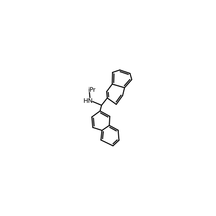 CC(C)NC(c1ccc2ccccc2c1)c1ccc2ccccc2c1